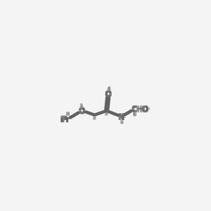 CC(C)OCC(=O)[N][C]=O